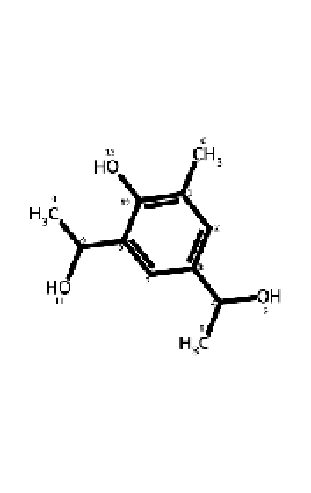 Cc1cc(C(C)O)cc(C(C)O)c1O